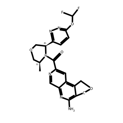 C[C@H]1COC[C@@H](c2ccc(OC(F)F)nn2)N1C(=O)c1cc2c3c(c(N)nc2cn1)COC3